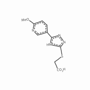 COc1ccc(-c2nnc(SCC(=O)O)[nH]2)cn1